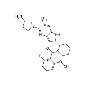 COc1cccc(F)c1C(=O)N1CCCCC1C1C=C2N=C(N3CCC(N)C3)C(C)=CN2N1